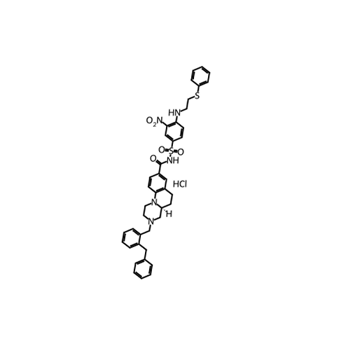 Cl.O=C(NS(=O)(=O)c1ccc(NCCSc2ccccc2)c([N+](=O)[O-])c1)c1ccc2c(c1)CC[C@H]1CN(Cc3ccccc3Cc3ccccc3)CCN21